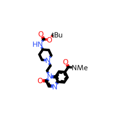 CNC(=O)c1ccc2ncc(=O)n(CCN3CCC(NC(=O)OC(C)(C)C)CC3)c2c1